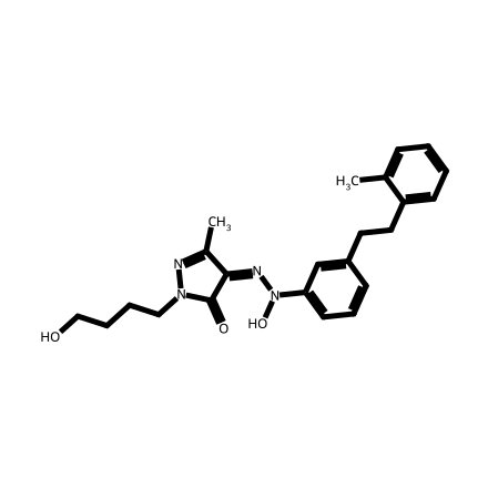 CC1=NN(CCCCO)C(=O)C1=NN(O)c1cccc(CCc2ccccc2C)c1